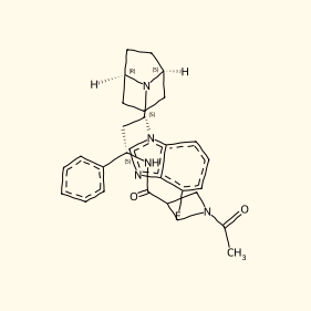 CC(=O)N1CC(C(=O)N[C@@H](CCN2[C@@H]3CC[C@H]2C[C@H](n2cnc4c(F)cccc42)C3)c2ccccc2)C1